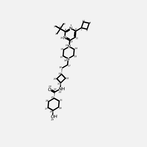 CC(C)(C)c1nc(C2CCC2)cc(N2CCN(CC[C@H]3C[C@H](NC(=O)[C@H]4CC[C@H](O)CC4)C3)CC2)n1